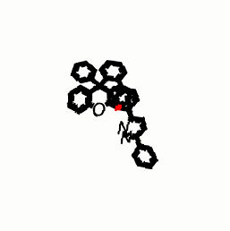 c1ccc(-c2ccc(-c3ccc(-c4ccccc4C4(c5ccccc5)c5ccccc5Oc5ccccc54)cc3)nn2)cc1